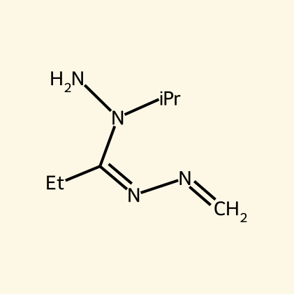 C=N/N=C(/CC)N(N)C(C)C